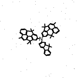 Cc1cc2c3c4c(cccc14)C(C)(C)c1cc(N(c4ccc5c(c4)C(C)(C)c4ccccc4-5)c4cc5c6c(c4)C(C)(C)c4cccc7c(C)cc(c-6c47)C5(C)C)cc(c1-3)C2(C)C